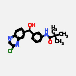 CC(C)(C)C(=O)Nc1cccc(C(O)c2ccc3ncc(Cl)nc3c2)c1